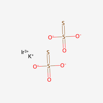 O=S([O-])([O-])=S.O=S([O-])([O-])=S.[Ir+3].[K+]